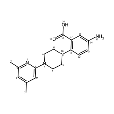 Cc1cc(C)nc(N2CCN(c3ccc(N)cc3C(=O)O)CC2)c1